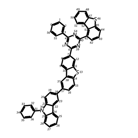 c1ccc(-c2nc(-c3ccc4c(c3)sc3ccc(-c5ccc6c(c5)c5ccccc5n6-c5ccccc5)cc34)nc(-c3cccc4sc5ccccc5c34)n2)cc1